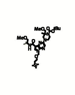 COC[C@@H](C)NC(=O)c1cn(COCC[Si](C)(C)C)c2ncc(N3CCN(C(=O)OC(C)(C)C)C(C)(COC)C3)nc12